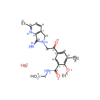 Br.CCOc1c(C(=O)NCC(=O)O)cc(C(=O)CN2Cc3ccc(CC)nc3C2=N)cc1C(C)(C)C